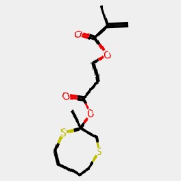 C=C(C)C(=O)OCCC(=O)OC1(C)CSCCCCS1